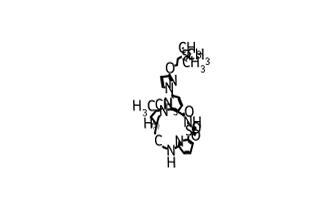 CC1(C)C[C@@H]2CCCNc3cccc(n3)S(=O)(=O)NC(=O)c3ccc(-n4ccc(OCC[Si](C)(C)C)n4)nc3N1C2